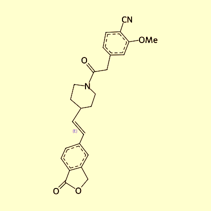 COc1cc(CC(=O)N2CCC(/C=C/c3ccc4c(c3)COC4=O)CC2)ccc1C#N